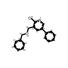 Clc1ncc(-c2ccccc2)cc1COCc1ccccc1